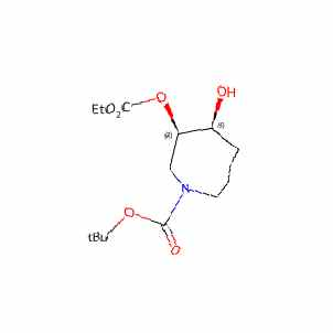 CCOC(=O)O[C@@H]1CN(C(=O)OC(C)(C)C)CCC[C@@H]1O